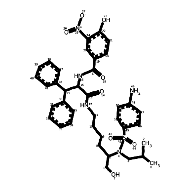 CC(C)CN(C(CO)CCCCNC(=O)C(NC(=O)c1ccc(O)c([N+](=O)[O-])c1)C(c1ccccc1)c1ccccc1)S(=O)(=O)c1ccc(N)cc1